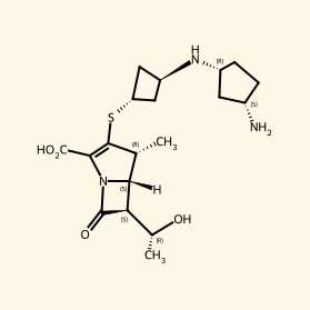 C[C@@H](O)[C@H]1C(=O)N2C(C(=O)O)=C(S[C@H]3C[C@H](N[C@@H]4CC[C@H](N)C4)C3)[C@H](C)[C@H]12